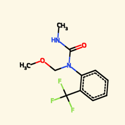 CNC(=O)N(COC)c1ccccc1C(F)(F)F